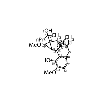 CCCC(C)(O)C12C[C@]3(CC)[C@H]4Cc5ccc(OC)c(O)c5[C@@]3(CCN4C)C1[C@@H]2OC